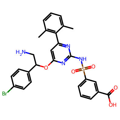 Cc1cccc(C)c1-c1cc(OC(CN)c2ccc(Br)cc2)nc(NS(=O)(=O)c2cccc(C(=O)O)c2)n1